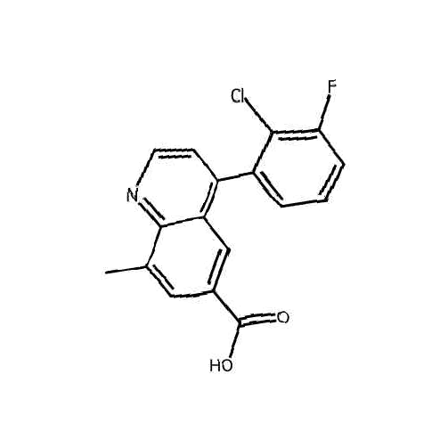 Cc1cc(C(=O)O)cc2c(-c3cccc(F)c3Cl)ccnc12